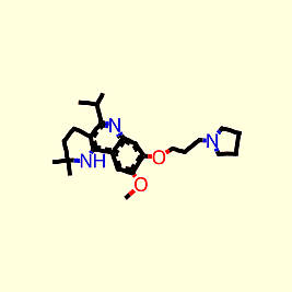 COc1cc2c3c(c(C(C)C)nc2cc1OCCCN1CCCC1)CCC(C)(C)N3